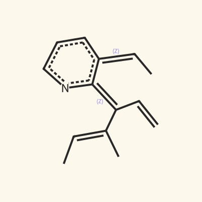 C=C/C(C(C)=CC)=c1/nccc/c1=C/C